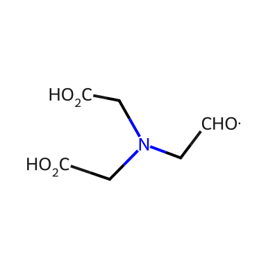 O=[C]CN(CC(=O)O)CC(=O)O